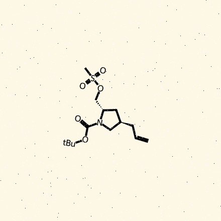 C=CC[C@@H]1C[C@@H](COS(C)(=O)=O)N(C(=O)OC(C)(C)C)C1